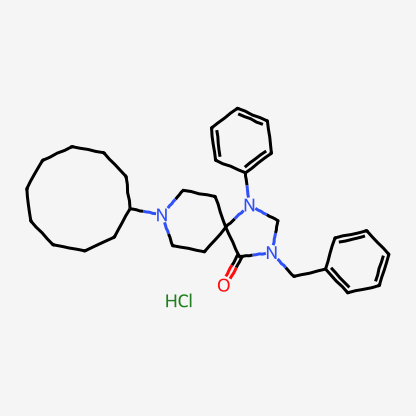 Cl.O=C1N(Cc2ccccc2)CN(c2ccccc2)C12CCN(C1CCCCCCCCC1)CC2